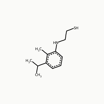 Cc1c(NCCS)cccc1C(C)C